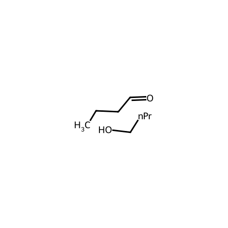 CCCC=O.CCCCO